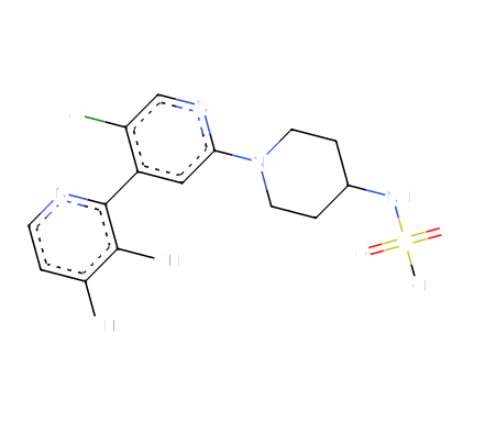 Cc1ccnc(-c2cc(N3CCC(NS(C)(=O)=O)CC3)ncc2Cl)c1C